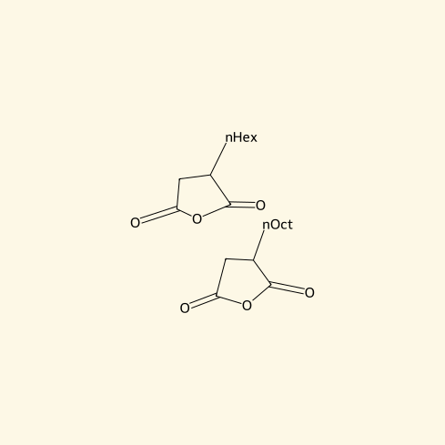 CCCCCCC1CC(=O)OC1=O.CCCCCCCCC1CC(=O)OC1=O